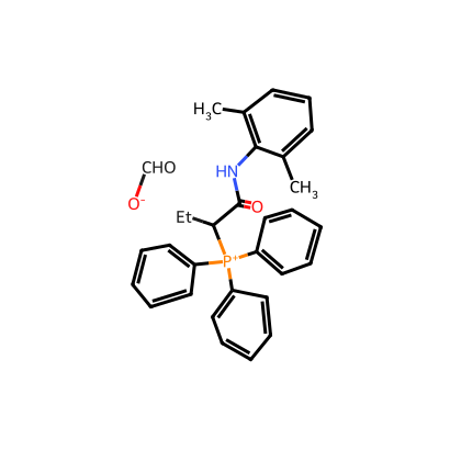 CCC(C(=O)Nc1c(C)cccc1C)[P+](c1ccccc1)(c1ccccc1)c1ccccc1.O=C[O-]